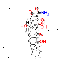 C[C@H]1c2ccc(C3(C)CCCCC3)c(O)c2C(=O)C2=C(O)[C@]3(O)C(=O)C(C(N)=O)=C(O)C[C@@H]3[C@@H](O)[C@@H]21